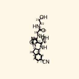 N#Cc1ccc2c(c1)C(N/C(=N/O)c1nonc1NCC(=O)NCCO)CC2